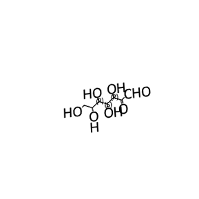 O=CC(=O)[C@H](O)[C@@H](O)[C@H](O)C(O)CO